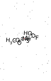 CCOC(=O)[C@]12C3CN(c4nc(-c5cc(F)ccc5O)cs4)C1C32